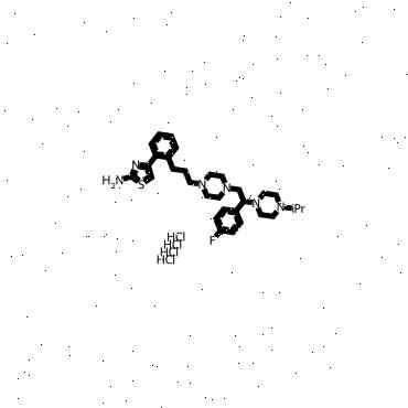 CC(C)N1CCN(C(CN2CCN(CCCc3ccccc3-c3csc(N)n3)CC2)c2ccc(F)cc2)CC1.Cl.Cl.Cl.Cl